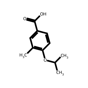 Cc1cc(C(=O)O)ccc1OC(C)C